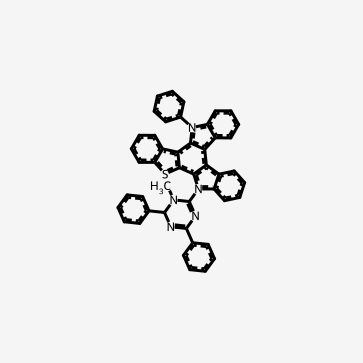 CN1C(n2c3ccccc3c3c4c5ccccc5n(-c5ccccc5)c4c4c5ccccc5sc4c32)=NC(c2ccccc2)=NC1c1ccccc1